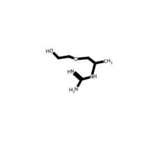 CC(COCCO)NC(=N)N